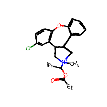 CCC(=O)OC(C(C)C)[N+]1(C)CC2c3ccccc3Oc3ccc(Cl)cc3C2C1